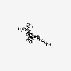 CCCCCCCCCNC(=O)Oc1ccc2c(c1)C(CN(CCC)CCC)CO2.O=C(O)C(=O)O